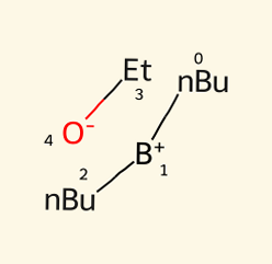 CCCC[B+]CCCC.CC[O-]